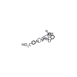 N=C(/C(COCC1(F)CCN(c2ccc(C(=O)O)cc2)CC1)=C(\O)C1CC1)c1c(Cl)cccc1Cl